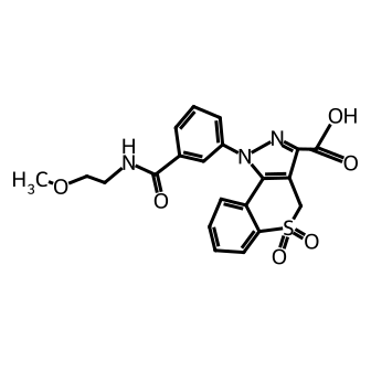 COCCNC(=O)c1cccc(-n2nc(C(=O)O)c3c2-c2ccccc2S(=O)(=O)C3)c1